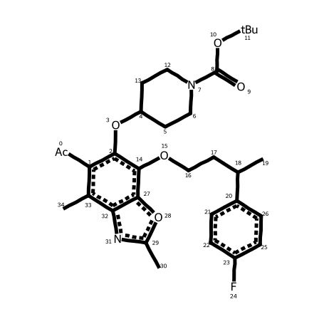 CC(=O)c1c(OC2CCN(C(=O)OC(C)(C)C)CC2)c(OCCC(C)c2ccc(F)cc2)c2oc(C)nc2c1C